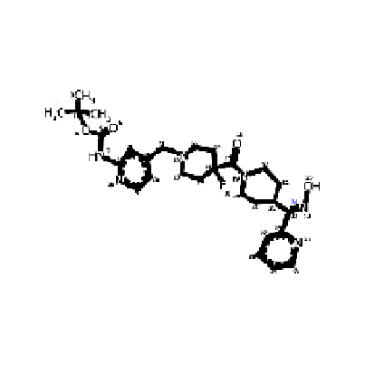 CC(C)(C)OC(=O)Nc1cc(CN2CCC(F)(C(=O)N3CCC(/C(=N\O)c4ccccn4)CC3)CC2)ccn1